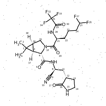 CC1(C)[C@@H]2[C@@H](C(=O)N[C@H](C#N)C[C@@H]3CCNC3=O)N(C(=O)[C@H](CCCC(F)F)NC(=O)C(F)(F)F)C[C@@H]21